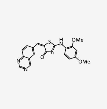 COc1ccc(NC2=NC(=O)C(=Cc3ccc4ncncc4c3)S2)c(OC)c1